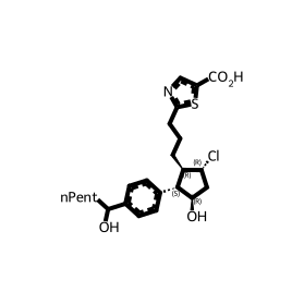 CCCCCC(O)c1ccc([C@@H]2[C@@H](CCCc3ncc(C(=O)O)s3)[C@H](Cl)C[C@H]2O)cc1